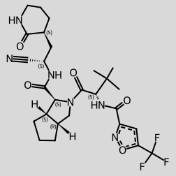 CC(C)(C)[C@H](NC(=O)c1cc(C(F)(F)F)on1)C(=O)N1C[C@@H]2CCC[C@@H]2[C@H]1C(=O)N[C@H](C#N)C[C@@H]1CCCNC1=O